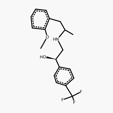 COc1ccccc1CC(C)NC[C@H](O)c1ccc(C(F)(F)F)cc1